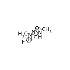 CCNc1nc2c(cc1Cc1ccc(F)cc1)NC(C)CO2